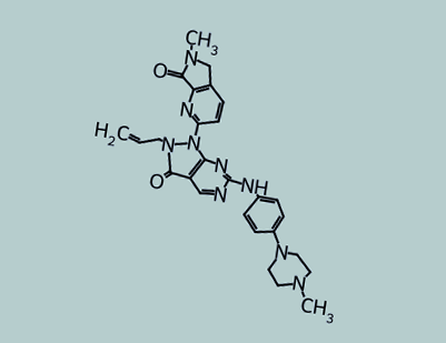 C=CCn1c(=O)c2cnc(Nc3ccc(N4CCN(C)CC4)cc3)nc2n1-c1ccc2c(n1)C(=O)N(C)C2